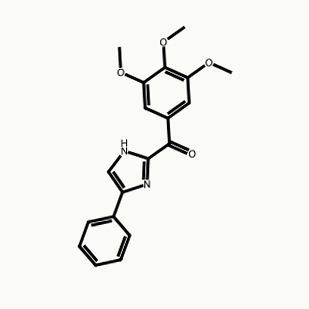 COc1cc(C(=O)c2nc(-c3ccccc3)c[nH]2)cc(OC)c1OC